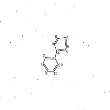 [c]1[c]cc(-c2ccccc2)cc1